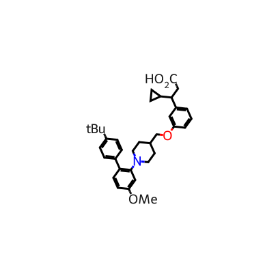 COc1ccc(-c2ccc(C(C)(C)C)cc2)c(N2CCC(COc3cccc(C(CC(=O)O)C4CC4)c3)CC2)c1